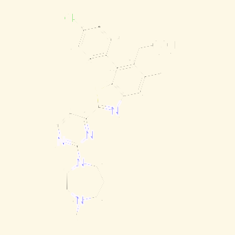 Cc1cc2nc(-c3ccnc(N4CCCN(C)CC4)n3)sc2c(-c2ccc(Cl)cc2)c1CC(=O)O